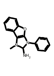 CN1c2c(oc3ccccc23)N(c2ccccc2)C1N